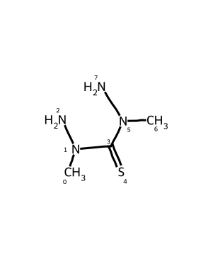 CN(N)C(=S)N(C)N